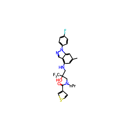 CCCN(CC(O)(CNc1cc(C)cc2c1cnn2-c1ccc(F)cc1)C(F)(F)F)C(=O)c1ccsc1